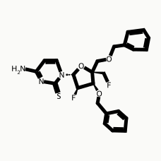 Nc1ccn([C@@H]2O[C@](CF)(COCc3ccccc3)[C@@H](OCc3ccccc3)[C@H]2F)c(=S)n1